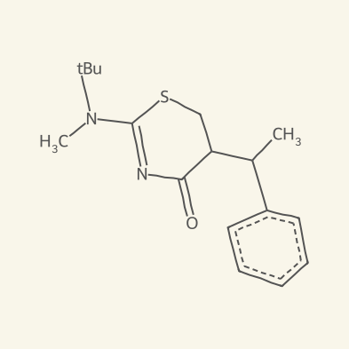 CC(c1ccccc1)C1CSC(N(C)C(C)(C)C)=NC1=O